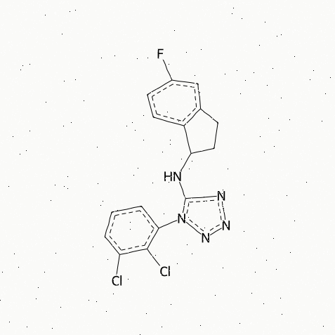 Fc1ccc2c(c1)CCC2Nc1nnnn1-c1cccc(Cl)c1Cl